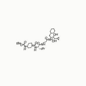 CC(C)C[C@H](NC(=O)N1CCC(NC(=O)OC(C)(C)C)CC1)C(=O)NCCC(=O)N[C@@H](CC1CCCCC1)[C@@H](O)[C@@H](O)C1CC1